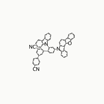 N#Cc1ccc(-c2cc(C#N)cc(-c3ccc(-n4c5ccccc5c5c6oc7ccccc7c6ccc54)cc3-n3c4ccccc4c4ccccc43)c2)cc1